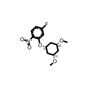 CO[C@@H]1C[C@H](OC)C[C@H](Oc2cc(F)ccc2[N+](=O)[O-])C1